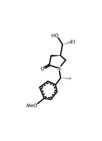 CC[C@@H](O)[C@@H]1CC(=O)N([C@H](C)c2ccc(OC)cc2)C1